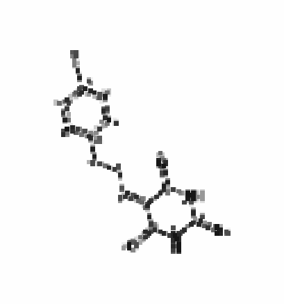 O=C1NC(=S)NC(=O)C1=CCCc1ccc(F)cc1